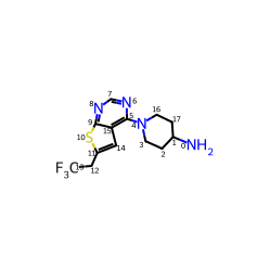 NC1CCN(c2ncnc3sc(CC(F)(F)F)cc23)CC1